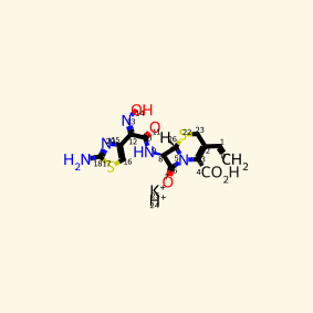 C=CC1=C(C(=O)O)N2C(=O)[C@@H](NC(=O)/C(=N\O)c3csc(N)n3)[C@H]2SC1.[H+].[K+]